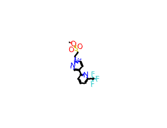 COS(=O)(=O)CC[n+]1ccc(-c2cccc(C(F)(F)F)n2)cn1